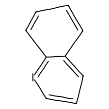 C1=CI=c2ccccc2=C1